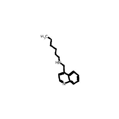 CCCCCCNCc1ccnc2ccccc12